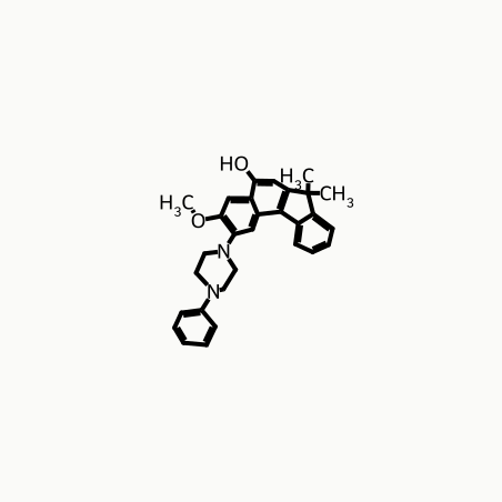 COc1cc2c(O)cc3c(c2cc1N1CCN(c2ccccc2)CC1)-c1ccccc1C3(C)C